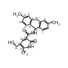 Cc1ccc2c(c1)Sc1cc(C)ccc1C2NC(=O)c1cc(CO)c(C(F)(F)F)[nH]c1=O